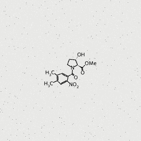 COC(=O)[C@@H]1[C@@H](O)CCN1C(=O)c1cc(C)c(C)cc1[N+](=O)[O-]